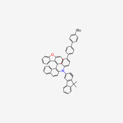 CC(C)(C)c1ccc(-c2ccc(-c3ccc(N(c4c#cc5c(c4)-c4ccccc4C5(C)C)c4ccc5ccccc5c4C4=c5c(oc6ccccc56)=CCC4)cc3)cc2)cc1